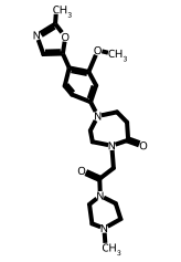 COc1cc(N2CCC(=O)N(CC(=O)N3CCN(C)CC3)CC2)ccc1-c1cnc(C)o1